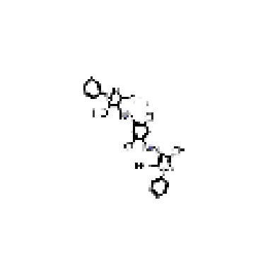 Cc1nn(C2=CCCC=C2)c(O)c1/N=N/c1cc(Cl)c(/N=N/c2c(C)nn(-c3ccccc3)c2O)cc1Cl